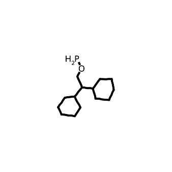 POCC(C1CCCCC1)C1CCCCC1